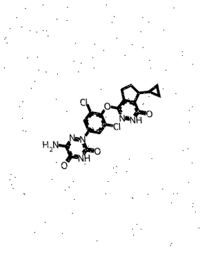 Nc1nn(-c2cc(Cl)c(Oc3n[nH]c(=O)c4c3CCC4C3CC3)c(Cl)c2)c(=O)[nH]c1=O